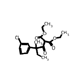 CCOC(=O)C(C(=O)OCC)C(=O)C(C)(CC)c1cccc(Cl)c1